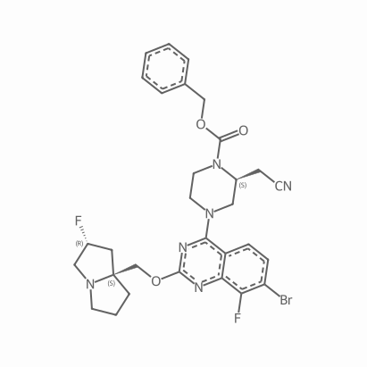 N#CC[C@H]1CN(c2nc(OC[C@@]34CCCN3C[C@H](F)C4)nc3c(F)c(Br)ccc23)CCN1C(=O)OCc1ccccc1